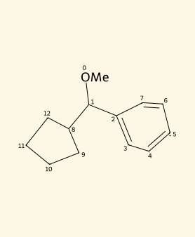 COC(c1cc[c]cc1)C1CCCC1